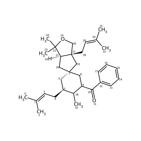 CC(C)=CC[C@H]1C[C@]2(CC(C(=O)c3ccccc3)C1C)C[C@H]1C(C)(C)OC[C@]1(CC=C(C)C)C2